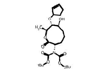 C[C@@H]1OC(=O)[C@@H](N(C(=O)OC(C)(C)C)C(=O)OC(C)(C)C)CCC[C@H](O)[C@H]1OC1C=CCC1